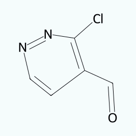 O=Cc1ccnnc1Cl